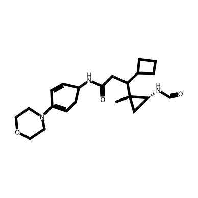 CC1(C(CC(=O)NC2C=CC(N3CCOCC3)=CC2)C2CCC2)C[C@H]1NC=O